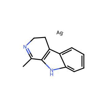 CC1=NCCc2c1[nH]c1ccccc21.[Ag]